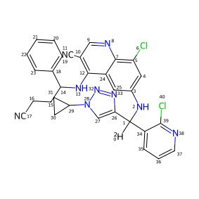 [2H]C(Nc1cc(Cl)c2ncc(C#N)c(NC(CCC#N)c3ccccc3)c2c1)(c1cn(C2CC2)nn1)c1cccnc1Cl